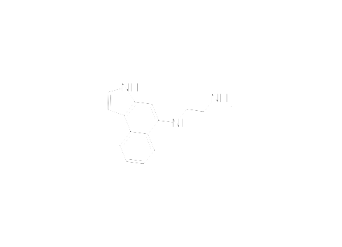 NCCNc1cc2[nH]ccc2c2ccccc12